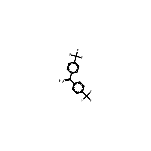 C=C(c1ccc(C(F)(F)F)cc1)c1ccc(C(F)(F)F)cc1